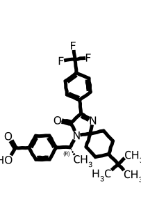 C[C@H](c1ccc(C(=O)O)cc1)N1C(=O)C(c2ccc(C(F)(F)F)cc2)=NC12CCC(C(C)(C)C)CC2